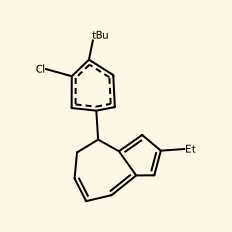 CCC1=CC2=CC=CCC(c3ccc(C(C)(C)C)c(Cl)c3)C2=C1